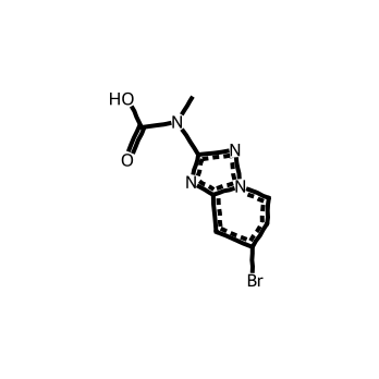 CN(C(=O)O)c1nc2cc(Br)ccn2n1